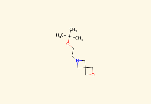 CC(C)(C)OCCN1CC2(COC2)C1